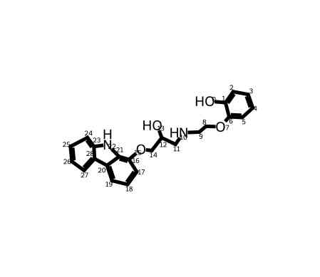 Oc1ccccc1OCCNCC(O)COc1cccc2c1[nH]c1ccccc12